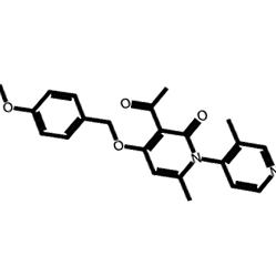 COc1ccc(COc2cc(C)n(-c3ccncc3C)c(=O)c2C(C)=O)cc1